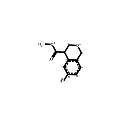 COC(=O)C1COCc2ccc(Br)cc21